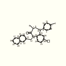 Cc1ccc(N2CC(C)C(=O)N(Cc3ccc4ccccc4c3)c3ccc(Cl)cc32)cc1